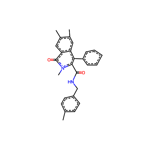 Cc1ccc(CNC(=O)c2c(-c3ccccc3)c3cc(C)c(C)cc3c(=O)n2C)cc1